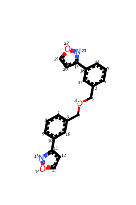 c1cc(COCc2cccc(-c3ccon3)c2)cc(-c2ccon2)c1